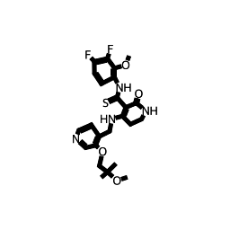 COc1c(NC(=S)C2=C(NCc3ccncc3OCC(C)(C)OC)CCNC2=O)ccc(F)c1F